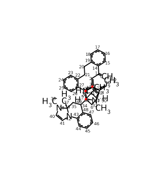 C=C(/C=C1/C[C@@H]2C[C@H](/C1=C/C)C2(C)C)c1ccccc1CCc1ccccc1N1C=CN(C)C1C1C[C@@]2(C)N(C)C=CN2c2ccccc21